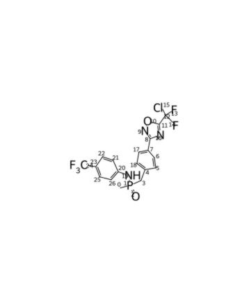 CP(=O)(Cc1ccc(-c2noc(C(F)(F)Cl)n2)cc1)Nc1ccc(C(F)(F)F)cc1